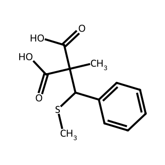 CSC(c1ccccc1)C(C)(C(=O)O)C(=O)O